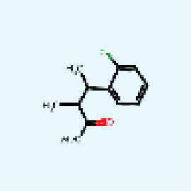 COC(=O)C(C)C(C)c1ccccc1Cl